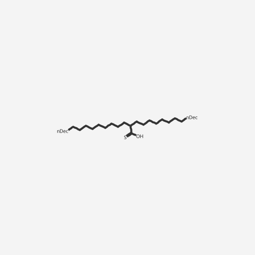 CCCCCCCCCCCCCCCCCCCC(CCCCCCCCCCCCCCCCCC)C(O)=S